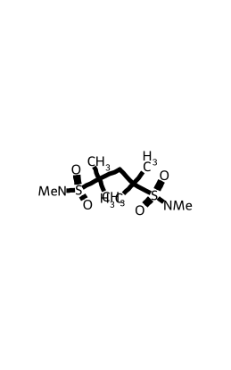 CNS(=O)(=O)C(C)(C)CC(C)(C)S(=O)(=O)NC